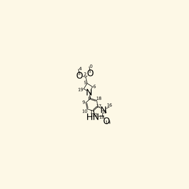 COC(OC)C1CN(c2ccc3[nH]c(=O)n(C)c3c2)C1